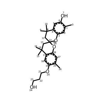 Cc1cc2c(cc1O)C(C)(C)CC1(CC(C)(C)c3cc(OCCCO)c(C)cc3O1)O2